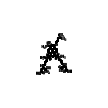 C=C(O)C(CC(=O)O)NCCCN(C)S(=O)(=O)c1cc(S(=O)(=O)N(C)CCCNC(CC(=O)O)C(=O)O)c2ccc3c(OCCCN(C)C)cc(N(C)C)c4ccc1c2c34